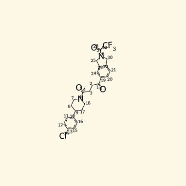 O=C(CCC(=O)N1CCC(c2ccc(Cl)cc2)CC1)c1ccc2c(c1)CN(C(=O)C(F)(F)F)C2